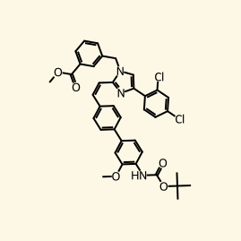 COC(=O)c1cccc(Cn2cc(-c3ccc(Cl)cc3Cl)nc2C=Cc2ccc(-c3ccc(NC(=O)OC(C)(C)C)c(OC)c3)cc2)c1